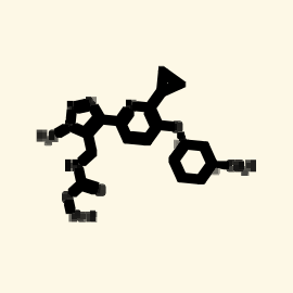 CCCC(C)OC(=O)NCc1c(-c2ccc(O[C@H]3CCC[C@H](C(=O)O)C3)c(C3CC3)n2)nnn1C